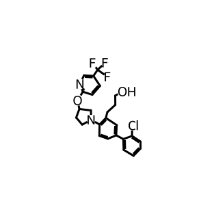 OCCCc1cc(-c2ccccc2Cl)ccc1N1CCC(Oc2ccc(C(F)(F)F)cn2)C1